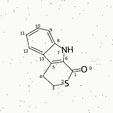 O=C1SCCc2c1[nH]c1ccccc21